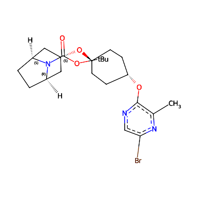 Cc1nc(Br)cnc1O[C@H]1CC[C@H](O[C@@H]2C[C@H]3CC[C@@H](C2)N3C(=O)OC(C)(C)C)CC1